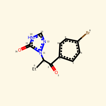 CCC(C(=O)c1ccc(Br)cc1)n1nc[nH]c1=O